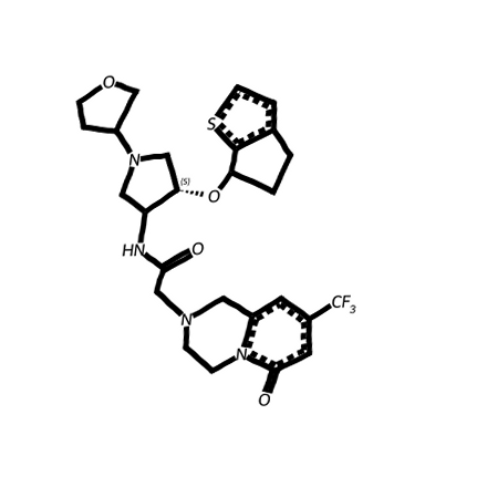 O=C(CN1CCn2c(cc(C(F)(F)F)cc2=O)C1)NC1CN(C2CCOC2)C[C@@H]1OC1CCc2ccsc21